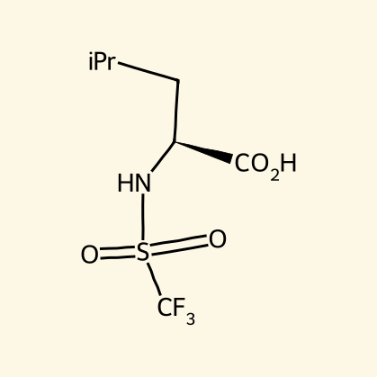 CC(C)C[C@H](NS(=O)(=O)C(F)(F)F)C(=O)O